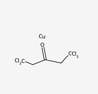 O=C(CC(Cl)(Cl)Cl)CC(Cl)(Cl)Cl.[Cu]